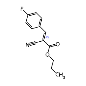 CCCOC(=O)/C(C#N)=C/c1ccc(F)cc1